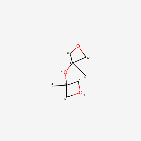 CC1(OC2(C)COC2)COC1